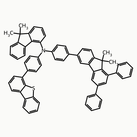 CC1(C)c2ccccc2-c2c(N(c3ccc(-c4ccc5c(c4)-c4cc(-c6ccccc6)cc(-c6ccccc6)c4C5(C)C)cc3)c3ccc(-c4cccc5c4sc4ccccc45)cc3)cccc21